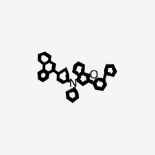 C1=CC2C=C(C3C=CC(N(c4ccccc4)c4cc5c6cccc(-c7ccccc7)c6oc5c5ccccc45)=CC3)c3ccccc3C2C=C1